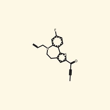 C=CCN1CCc2cc(C(=O)C#CC)sc2-c2ccc(F)cc21